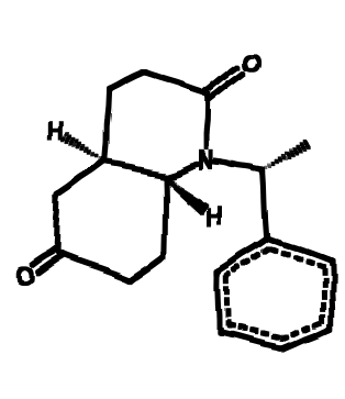 C[C@H](c1ccccc1)N1C(=O)CC[C@@H]2CC(=O)CC[C@H]21